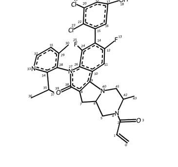 C=CC(=O)N1CC2Cc3c(c4cc(F)c(-c5cc(O)cc(Cl)c5Cl)c(F)c4n(-c4c(C)ccnc4C(C)C)c3=O)N2CC1C